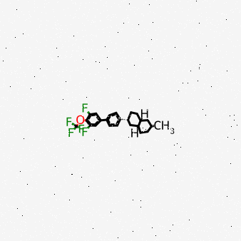 CC1CC[C@@H]2C[C@H](c3ccc(-c4cc(F)c(OC(F)(F)F)c(F)c4)cc3)CC[C@@H]2C1